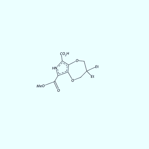 CCC1(CC)COc2c(C(=O)O)[nH]c(C(=O)OC)c2OC1